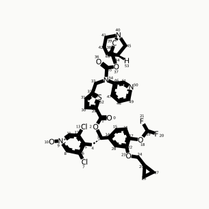 O=C(O[C@@H](Cc1c(Cl)c[n+]([O-])cc1Cl)c1ccc(OC(F)F)c(OCC2CC2)c1)c1ccc(CN(C(=O)O[C@H]2CN3CCC2CC3)c2cccnc2)s1